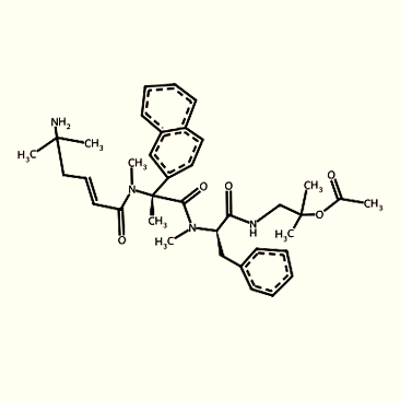 CC(=O)OC(C)(C)CNC(=O)[C@@H](Cc1ccccc1)N(C)C(=O)[C@@](C)(c1ccc2ccccc2c1)N(C)C(=O)/C=C/CC(C)(C)N